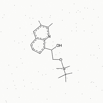 Cc1cc2cccc(C(O)CO[Si](C)(C)C(C)(C)C)c2nc1C